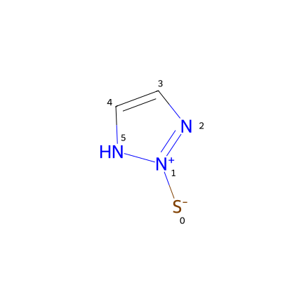 [S-][n+]1ncc[nH]1